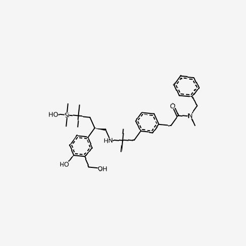 CN(Cc1ccccc1)C(=O)Cc1cccc(CC(C)(C)NC[C@H](CC(C)(C)[Si](C)(C)O)c2ccc(O)c(CO)c2)c1